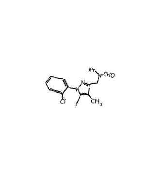 Cc1c(CN(C=O)C(C)C)nn(-c2ccccc2Cl)c1I